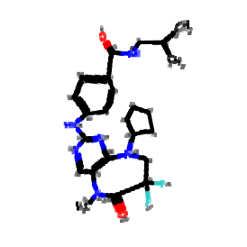 CC(C)CNC(=O)c1ccc(Nc2ncc3c(n2)N(C2CCCC2)CC(F)(F)C(=O)N3C)cc1